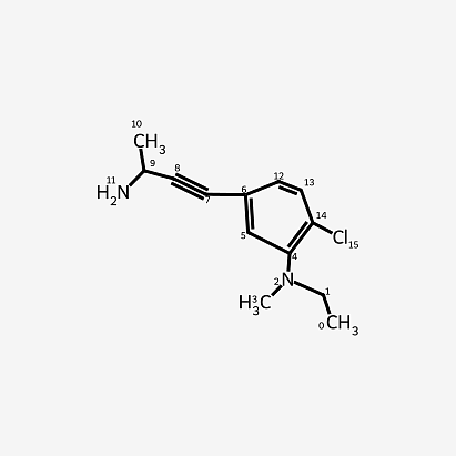 CCN(C)c1cc(C#CC(C)N)ccc1Cl